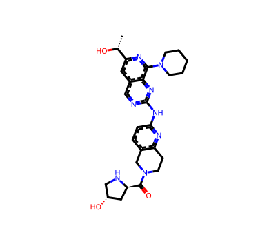 C[C@@H](O)c1cc2cnc(Nc3ccc4c(n3)CCN(C(=O)[C@H]3C[C@H](O)CN3)C4)nc2c(N2CCCCC2)n1